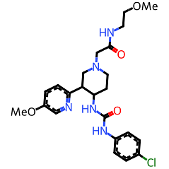 COCCNC(=O)CN1CCC(NC(=O)Nc2ccc(Cl)cc2)C(c2ccc(OC)cn2)C1